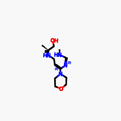 CN/C=N\C(=C/CN[C@H](C)CO)N1CCOCC1